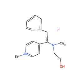 CC[n+]1ccc(/C(=C\c2ccccc2)N(C)CCO)cc1.[I-]